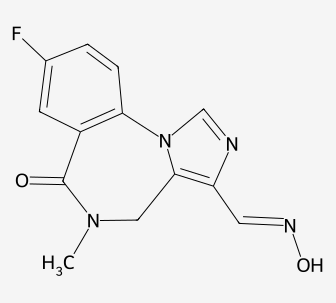 CN1Cc2c(/C=N/O)ncn2-c2ccc(F)cc2C1=O